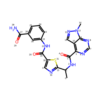 CC(NC(=O)c1ncnc2c1cnn2C)c1ncc(C(=O)Nc2cccc(C(N)=O)c2)s1